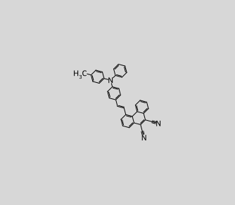 Cc1ccc(N(c2ccccc2)c2ccc(C=Cc3cccc4c(C#N)c(C#N)c5ccccc5c34)cc2)cc1